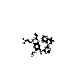 C=CC(=O)Nc1cc(Nc2ncnc(N3CC(C)(C)c4ncccc43)n2)c(OCC(F)(F)F)nc1N(C)CCN(C)C